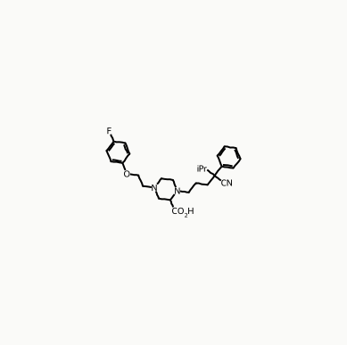 CC(C)C(C#N)(CCCN1CCN(CCOc2ccc(F)cc2)CC1C(=O)O)c1ccccc1